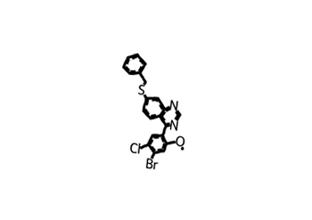 COc1cc(Br)c(Cl)cc1-c1ncnc2cc(SCc3ccccc3)ccc12